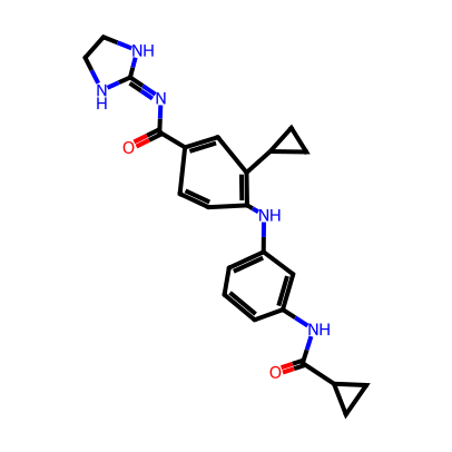 O=C(N=C1NCCN1)c1ccc(Nc2cccc(NC(=O)C3CC3)c2)c(C2CC2)c1